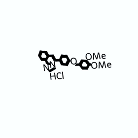 COc1ccc(COc2ccc(C3=Cc4ccccc4C4=NCCN34)cc2)cc1OC.Cl